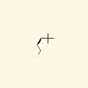 OC/C=C\C(F)(F)F